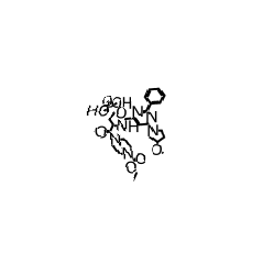 CCOC(=O)N1CCN(C(=O)C(CCP(=O)(O)O)NC(=O)c2cc(N3CCC(OC)C3)nc(-c3ccccc3)n2)CC1